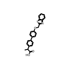 CC(C(=O)O)c1ccc(-c2ccc(OCc3nc4ccccc4s3)cc2)cc1